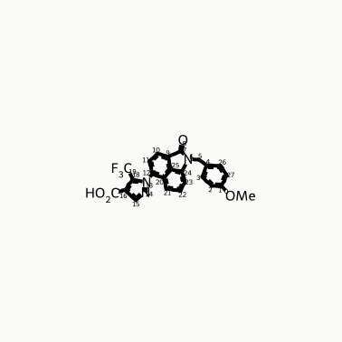 COc1ccc(CN2C(=O)c3ccc(-n4ncc(C(=O)O)c4C(F)(F)F)c4cccc2c34)cc1